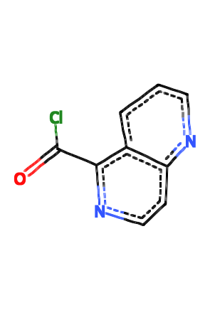 O=C(Cl)c1nccc2ncccc12